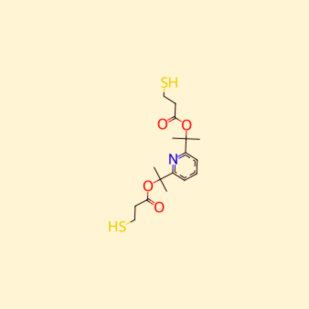 CC(C)(OC(=O)CCS)c1cccc(C(C)(C)OC(=O)CCS)n1